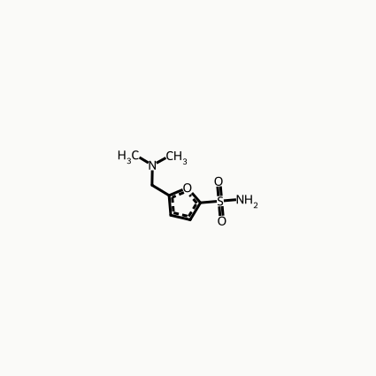 CN(C)Cc1ccc(S(N)(=O)=O)o1